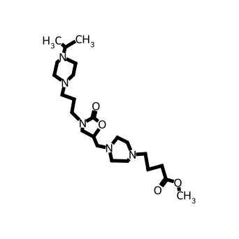 COC(=O)CCCN1CCN(CC2CN(CCCN3CCN(C(C)C)CC3)C(=O)O2)CC1